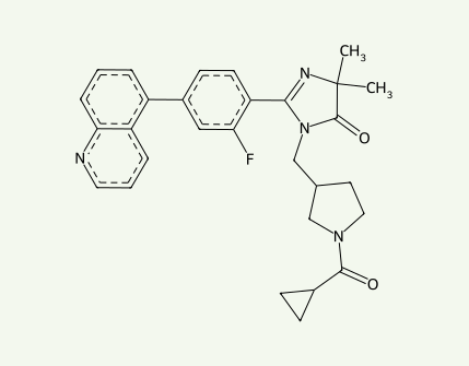 CC1(C)N=C(c2ccc(-c3cccc4ncccc34)cc2F)N(CC2CCN(C(=O)C3CC3)C2)C1=O